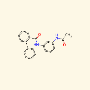 CC(=O)Nc1cccc(NC(=O)c2ccccc2-c2ccccc2)c1